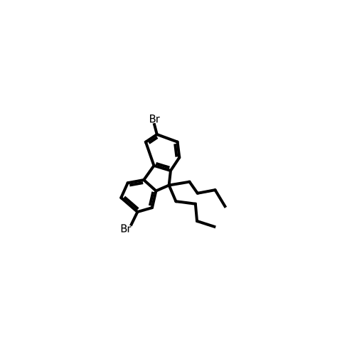 CCCCC1(CCCC)c2ccc(Br)cc2-c2ccc(Br)cc21